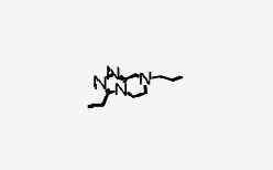 CCCN1CCn2c(CC)nnc2C1